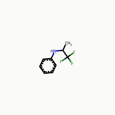 CC(Nc1ccccc1)C(F)(F)F